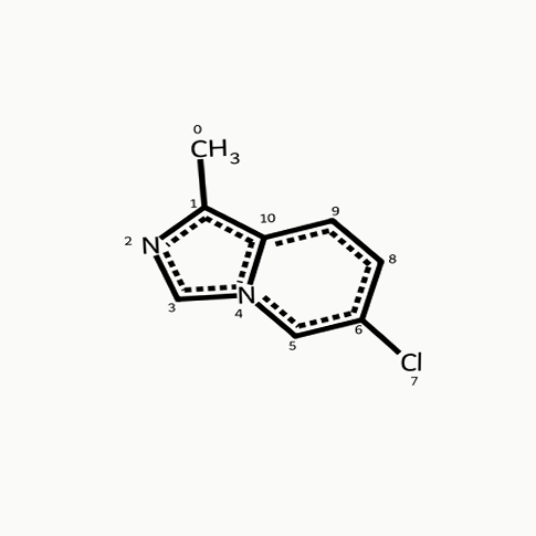 Cc1ncn2cc(Cl)ccc12